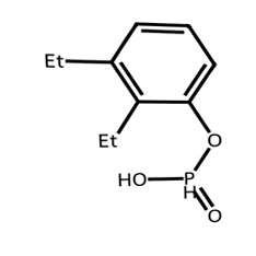 CCc1cccc(O[PH](=O)O)c1CC